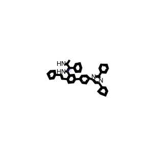 CC(=N)/C(=C1\NC(c2ccccc2)=Cc2ccc(-c3ccc(-c4cc(-c5ccccc5)nc(-c5ccccc5)n4)cc3)cc21)c1ccccc1